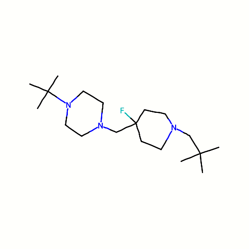 CC(C)(C)CN1CCC(F)(CN2CCN(C(C)(C)C)CC2)CC1